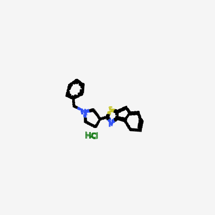 C1=CCC2=c3nc(C4CCN(Cc5ccccc5)C4)sc3=CC2=C1.Cl